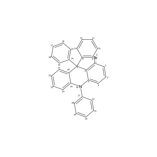 Brc1cccc2c1C(c1ccccc1)(c1ccccc1)c1ccccc1N2c1ccccc1